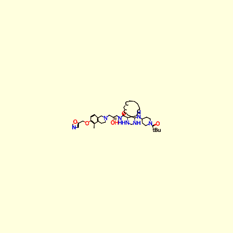 Cc1c(OCc2cnco2)ccc2c1CCN(C[C@@H](O)CNC(=O)C1NCNC(NC3CCN(C(=O)C(C)(C)C)CC3)C13CCCCCCCCCC3)C2